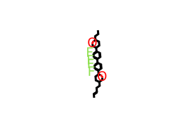 C/C=C/CCC1CCC(c2ccc(-c3ccc(C4CCC(CCC)OC4)c(F)c3F)c(F)c2F)OC1